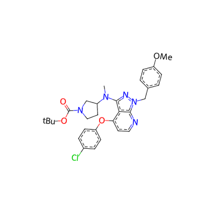 COc1ccc(Cn2nc(N(C)C3CCN(C(=O)OC(C)(C)C)C3)c3c(Oc4ccc(Cl)cc4)ccnc32)cc1